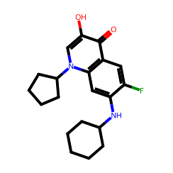 O=c1c(O)cn(C2CCCC2)c2cc(NC3CCCCC3)c(F)cc12